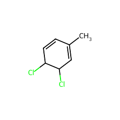 CC1=CC(Cl)C(Cl)C=C1